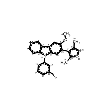 COc1cc2c3cnccc3n(-c3cccc(Cl)c3)c2cc1-c1c(C)noc1C